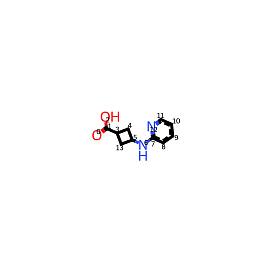 O=C(O)C1CC(Nc2ccccn2)C1